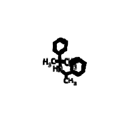 CC(NC(C)(C)c1ccccc1)c1ccccc1